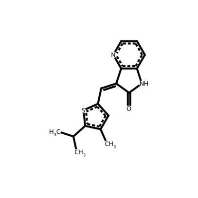 Cc1cc(C=C2C(=O)Nc3cccnc32)sc1C(C)C